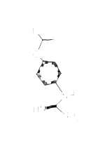 N=C(N)Nc1ccc(OC(F)F)cc1